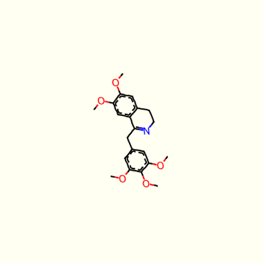 COc1cc2c(cc1OC)C(Cc1cc(OC)c(OC)c(OC)c1)=NCC2